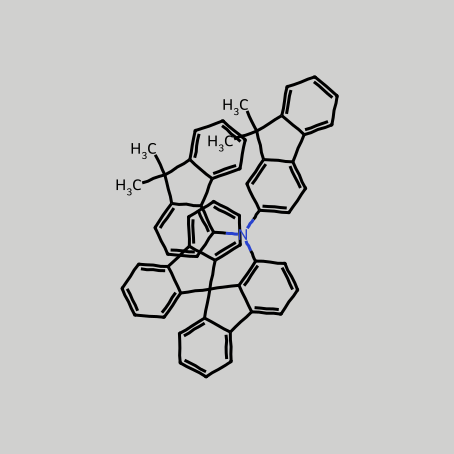 CC1(C)c2ccccc2-c2ccc(N(c3cccc4c3-c3ccccc3C4(C)C)c3cccc4c3C3(c5ccccc5-c5ccccc53)c3ccccc3-4)cc21